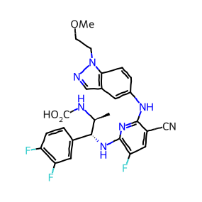 COCCn1ncc2cc(Nc3nc(N[C@H](c4ccc(F)c(F)c4)[C@H](C)NC(=O)O)c(F)cc3C#N)ccc21